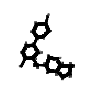 Cc1cnc(-c2ccc(F)cc2)nc1Nc1cnc2[nH]ncc2c1